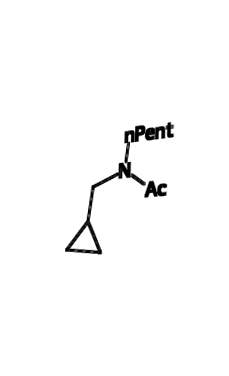 CCCCCN(CC1CC1)C(C)=O